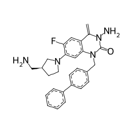 C=C1c2cc(F)c(N3CC[C@@H](CN)C3)cc2N(Cc2ccc(-c3ccccc3)cc2)C(=O)N1N